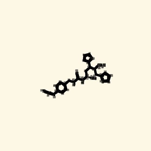 CCCC[C@@H](CC(c1cccs1)N(Cc1cccs1)C(=O)O)NC(=O)NCc1ccc(N=[N+]=[N-])cc1